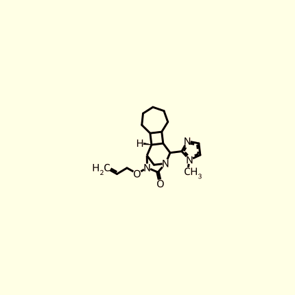 C=CCON1C(=O)N2CC1[C@@H]1C3CCCCCC3C1C2c1nccn1C